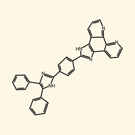 c1ccc(-c2nc(-c3ccc(-c4nc5c6cccnc6c6ncccc6c5[nH]4)cc3)[nH]c2-c2ccccc2)cc1